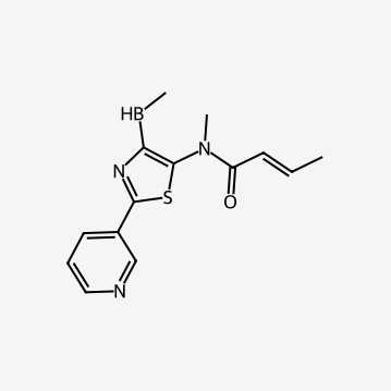 CBc1nc(-c2cccnc2)sc1N(C)C(=O)/C=C/C